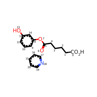 O=C(O)CCCCC(=O)Oc1cccc(O)c1.c1ccncc1